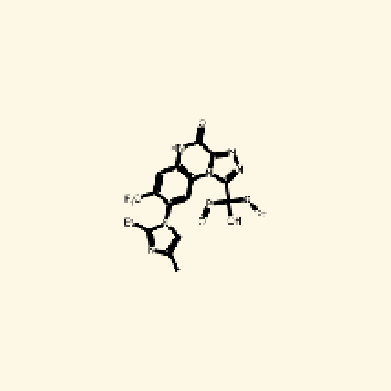 CCOC(O)(P=O)c1nnc2c(=O)[nH]c3cc(C(F)(F)F)c(-n4cc(C)nc4CC)cc3n12